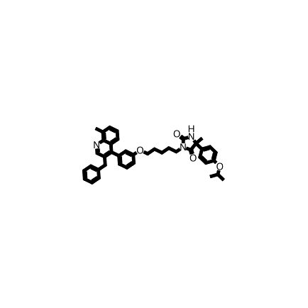 Cc1cccc2c(-c3cccc(OCCCCCN4C(=O)NC(C)(c5ccc(OC(C)C)cc5)C4=O)c3)c(Cc3ccccc3)cnc12